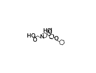 Cl.O=C(O)CCN1CCC2(CC1)COc1cc(OCC3CCCCC3)ccc12